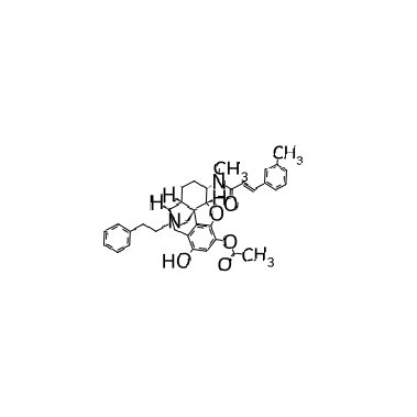 CC(=O)Oc1cc(O)c2c3c1O[C@H]1[C@@H](N(C)C(=O)C=Cc4cccc(C)c4)CC[C@H]4[C@@H](C2)N(CCc2ccccc2)CC[C@@]341